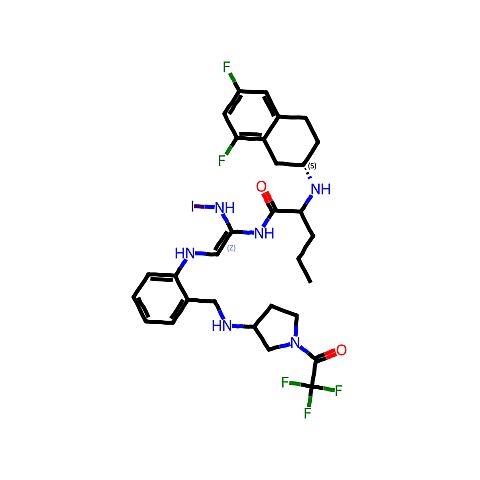 CCCC(N[C@H]1CCc2cc(F)cc(F)c2C1)C(=O)N/C(=C/Nc1ccccc1CNC1CCN(C(=O)C(F)(F)F)C1)NI